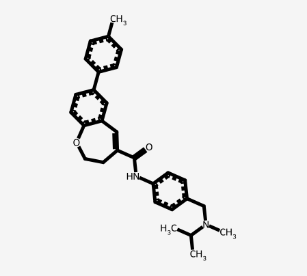 Cc1ccc(-c2ccc3c(c2)C=C(C(=O)Nc2ccc(CN(C)C(C)C)cc2)CCO3)cc1